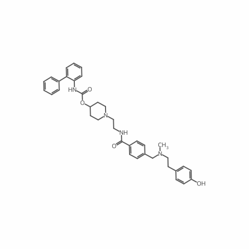 CN(CCc1ccc(O)cc1)Cc1ccc(C(=O)NCCN2CCC(OC(=O)Nc3ccccc3-c3ccccc3)CC2)cc1